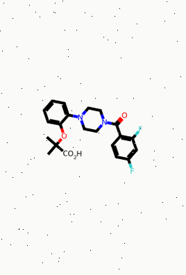 CC(C)(Oc1ccccc1N1CCN(C(=O)c2ccc(F)cc2F)CC1)C(=O)O